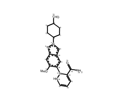 COc1cc2nn(C3CCC(C=O)CC3)cc2cc1N1NC=CC=C1C(N)=O